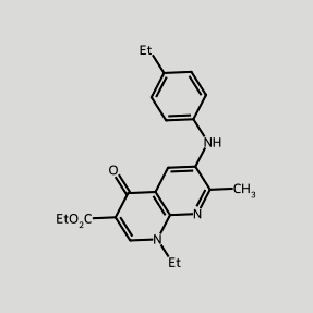 CCOC(=O)c1cn(CC)c2nc(C)c(Nc3ccc(CC)cc3)cc2c1=O